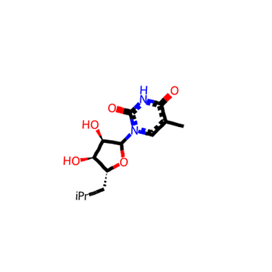 Cc1cn(C2O[C@H](CC(C)C)[C@@H](O)[C@H]2O)c(=O)[nH]c1=O